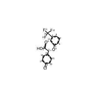 O=C(O)[C@H](Oc1cccc(C(F)(F)F)c1)c1ccc(Cl)cc1